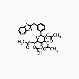 CC(=O)OCC1OC(c2cccc(Cc3nc4ccccc4o3)c2)[C@H](OC(C)=O)C(OC(C)=O)[C@@H]1OC(C)=O